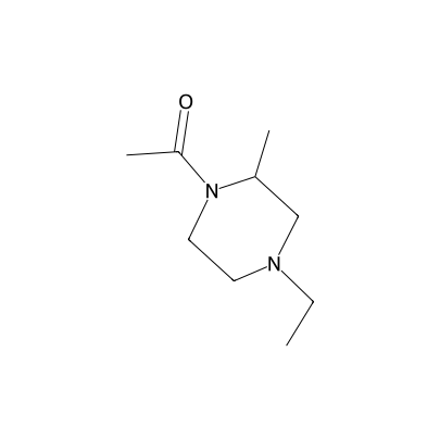 CCN1CCN(C(C)=O)C(C)C1